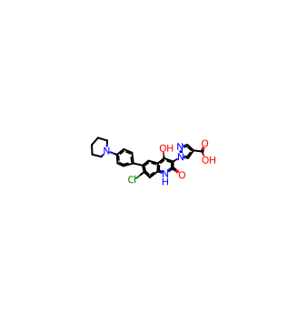 O=C(O)c1cnn(-c2c(O)c3cc(-c4ccc(N5CCCCC5)cc4)c(Cl)cc3[nH]c2=O)c1